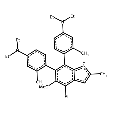 CCc1c(OC)c(-c2ccc(N(CC)CC)cc2C)c(-c2ccc(N(CC)CC)cc2C)c2[nH]c(C)[c]c12